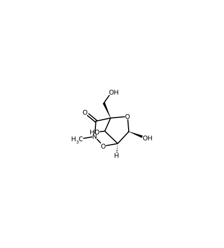 CN1O[C@H]2C(O)[C@@](CO)(O[C@H]2O)C1=O